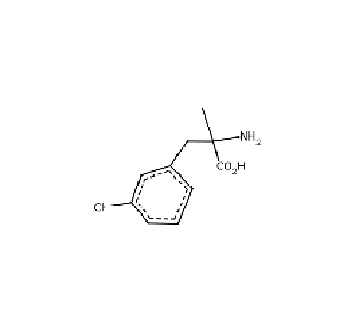 CC(N)(Cc1cccc(Cl)c1)C(=O)O